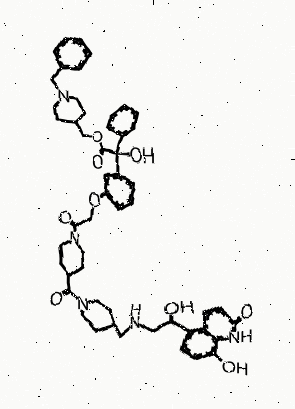 O=C(COc1cccc([C@](O)(C(=O)OCC2CCN(Cc3ccccc3)CC2)c2ccccc2)c1)N1CCC(C(=O)N2CCC(CNCC(O)c3ccc(O)c4[nH]c(=O)ccc34)CC2)CC1